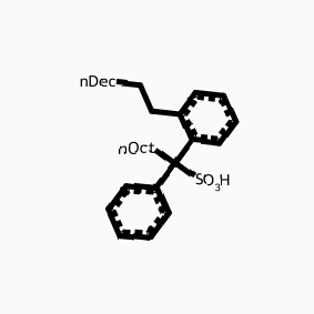 CCCCCCCCCCCCc1ccccc1C(CCCCCCCC)(c1ccccc1)S(=O)(=O)O